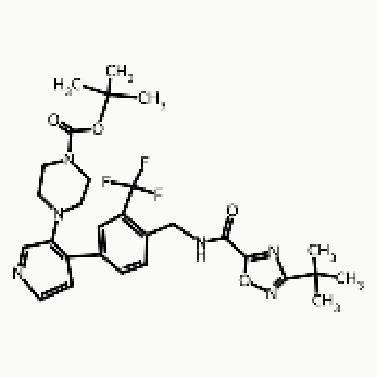 CC(C)(C)OC(=O)N1CCN(c2cnccc2-c2ccc(CNC(=O)c3nc(C(C)(C)C)no3)c(C(F)(F)F)c2)CC1